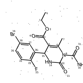 CCOC(=O)C1=C(C)N(C(N)=O)C(=O)NC1c1cc(Br)ccc1F